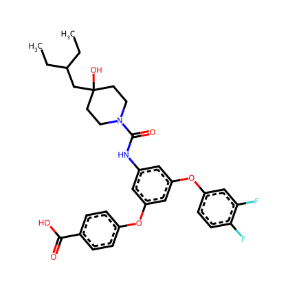 CCC(CC)CC1(O)CCN(C(=O)Nc2cc(Oc3ccc(C(=O)O)cc3)cc(Oc3ccc(F)c(F)c3)c2)CC1